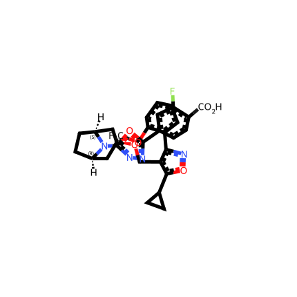 O=C(O)c1ccc(-c2nnc(N3[C@@H]4CC[C@H]3C[C@@H](OCc3c(-c5ccccc5OC(F)(F)F)noc3C3CC3)C4)o2)cc1F